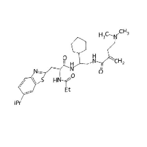 C=C(CCN(C)C)C(=O)NCC(NC(=O)C(Cc1nc2ccc(C(C)C)cc2s1)NC(=O)CC)C1CCCCC1